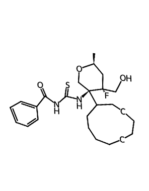 C[C@H]1C[C@@](F)(CO)[C@](NC(=S)NC(=O)c2ccccc2)(C2CCCCCCCCC2)CO1